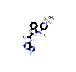 CC(Nc1ncnc2[nH]cnc12)c1nc(N(C)C2CCN(S(C)(=O)=O)CC2)c2ccccc2n1